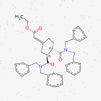 CCOC(=O)C=C1CC[C@H](C(=O)N(Cc2ccccc2)Cc2ccccc2)[C@@H](C(=O)N(Cc2ccccc2)Cc2ccccc2)C1